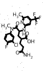 Cc1cc(C(F)(F)F)cc(NC(CC(CCC(N)=O)C(=O)O)C(=O)N(C)c2ccc(F)c(Cl)c2)n1